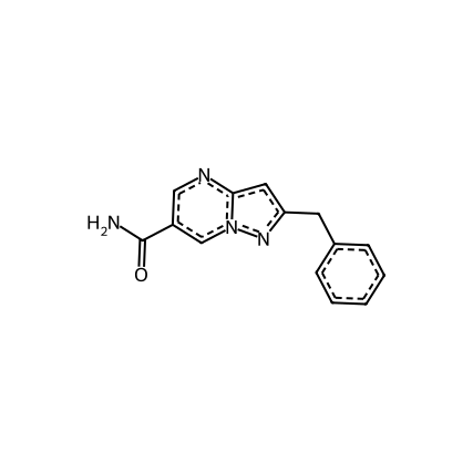 NC(=O)c1cnc2cc(Cc3ccccc3)nn2c1